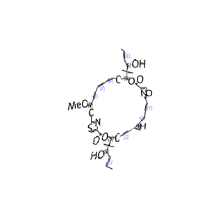 C/C=C/[C@H](O)C(C)(C)[C@@H]1C\C=C/C=C\C=C\[C@H](OC)Cc2nc(cs2)C(=O)O[C@H](C(C)(C)[C@@H](O)/C=C/C)C/C=C\C2=C[C@@H]2/C=C/C=C\c2nc(co2)C(=O)O1